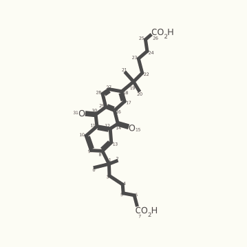 CC(C)(CCCCC(=O)O)c1ccc2c(c1)C(=O)c1cc(C(C)(C)CCCCC(=O)O)ccc1C2=O